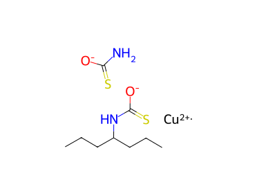 CCCC(CCC)NC([O-])=S.NC([O-])=S.[Cu+2]